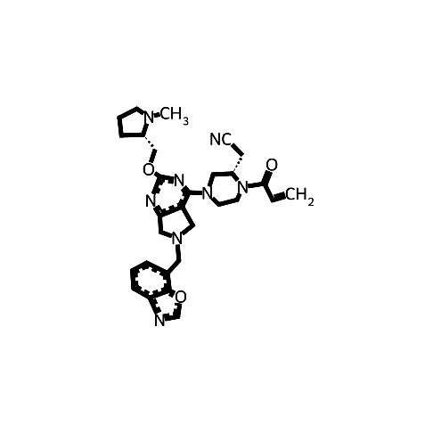 C=CC(=O)N1CCN(c2nc(OC[C@@H]3CCCN3C)nc3c2CN(Cc2cccc4ncoc24)C3)C[C@@H]1CC#N